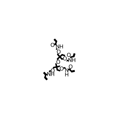 C=CC(=C)NCOCC(CC)(COCNC(=O)C=C)COCC(CC)(COCNC(=O)C=C)COCNC(=O)C=C